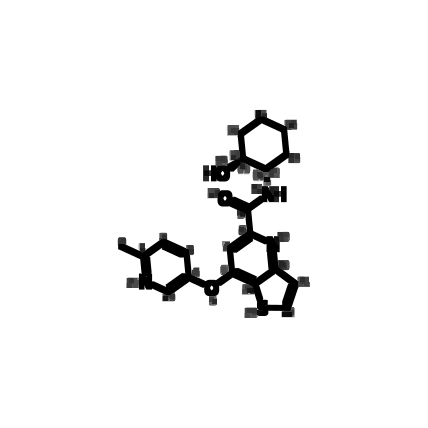 Cc1ccc(Oc2cc(C(=O)N[C@H]3CCCC[C@@H]3O)nc3ccsc23)cn1